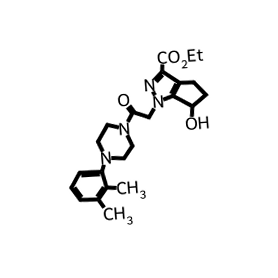 CCOC(=O)c1nn(CC(=O)N2CCN(c3cccc(C)c3C)CC2)c2c1CCC2O